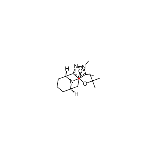 Cc1c2c(nn1C)[C@H]1CCC[C@@H](C2)N1C(=O)OC(C)(C)C